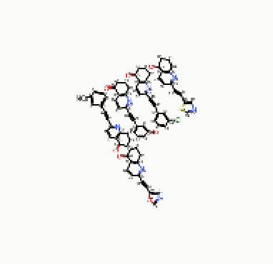 N#Cc1cccc(C#Cc2ccc3c(n2)CCCC3=O)c1.O=C1CCCc2nc(C#Cc3cccc(Br)c3)ccc21.O=C1CCCc2nc(C#Cc3cccc(Cl)c3)ccc21.O=C1CCCc2nc(C#Cc3cnco3)ccc21.O=C1CCCc2nc(C#Cc3cncs3)ccc21